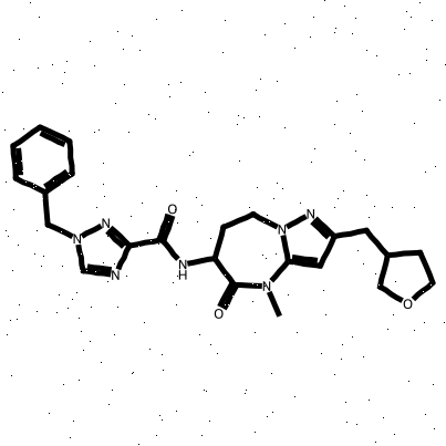 CN1C(=O)C(NC(=O)c2ncn(Cc3ccccc3)n2)CCn2nc(CC3CCOC3)cc21